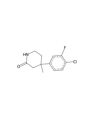 CC1(c2ccc(Cl)c(F)c2)CCNC(=O)C1